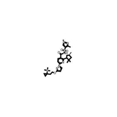 Cc1nn(C)cc1S(=O)(=O)NC(=O)c1ccc(-n2ccc(OCCC3(S(C)(C)C)CC3)n2)nc1C1C[C@@H](C)CC1(C)C